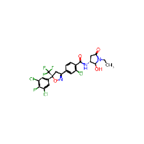 CCN1C(=O)C[C@@H](NC(=O)c2ccc(C3=NO[C@@](c4cc(Cl)c(F)c(Cl)c4)(C(F)(F)F)C3)cc2Cl)C1O